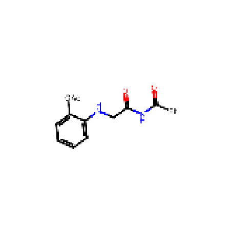 CCC(=O)NC(=O)CNc1ccccc1OC(C)=O